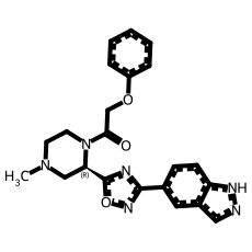 CN1CCN(C(=O)COc2ccccc2)[C@@H](c2nc(-c3ccc4[nH]ncc4c3)no2)C1